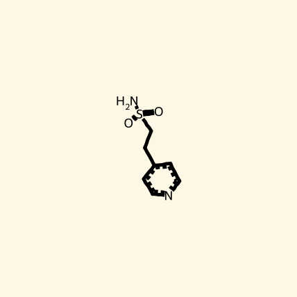 NS(=O)(=O)CCc1ccncc1